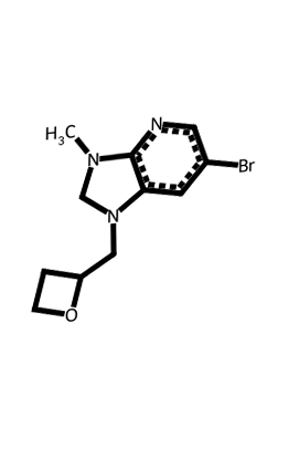 CN1CN(CC2CCO2)c2cc(Br)cnc21